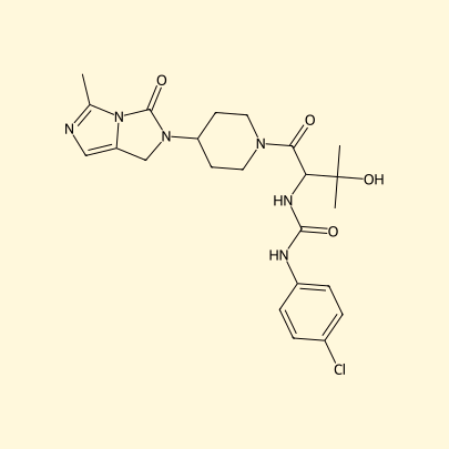 Cc1ncc2n1C(=O)N(C1CCN(C(=O)C(NC(=O)Nc3ccc(Cl)cc3)C(C)(C)O)CC1)C2